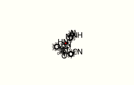 C[C@@H]1C(=O)N(c2cccc(C#N)c2)c2cnc(Nc3ccc4[nH]ncc4n3)nc2N1C1CCCCC1